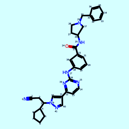 N#CCC(C1CCCC1)n1cc(-c2ccnc(Nc3cccc(C(=O)NC4CCN(Cc5ccccc5)C4)c3)n2)cn1